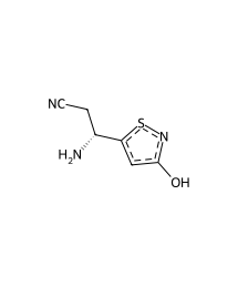 N#CC[C@@H](N)c1cc(O)ns1